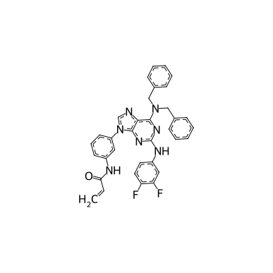 C=CC(=O)Nc1cccc(-n2cnc3c(N(Cc4ccccc4)Cc4ccccc4)nc(Nc4ccc(F)c(F)c4)nc32)c1